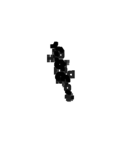 CC(C)[C@H]1CCOC(Nc2cc(F)c(Oc3ccnc4c3c(Cl)cn4COCC[Si](C)(C)C)c(F)c2)=N1